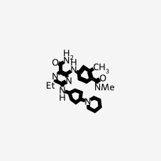 CCc1nc(C(N)=O)c(Nc2ccc(C(=O)NC)c(C)c2)nc1NC1CCC(N2CCCCC2)CC1